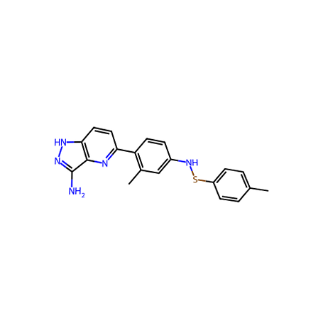 Cc1ccc(SNc2ccc(-c3ccc4[nH]nc(N)c4n3)c(C)c2)cc1